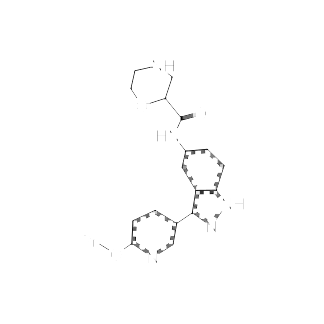 CC(C)Oc1ccc(-c2n[nH]c3ccc(NC(=O)C4CNCCO4)cc23)cn1